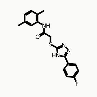 Cc1ccc(C)c(NC(=O)CSc2nnc(-c3ccc(F)cc3)[nH]2)c1